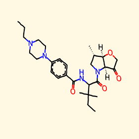 CCCN1CCN(c2ccc(C(=O)NC(C(=O)N3C[C@H](C)[C@H]4OCC(=O)[C@H]43)C(C)(C)CC)cc2)CC1